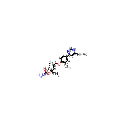 CC(=O)Nc1cc(-c2ccc(OC[C@@H](C)CC(C)(C)OC(N)=O)c(C(F)(F)F)c2)ncn1